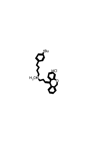 CN(CC/C=C1/c2ccccc2COc2ccccc21)CCCCc1ccc(C(C)(C)C)cc1.Cl